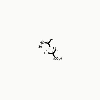 CC(O)C(=O)O.CC(O)C(=O)O.[Se]